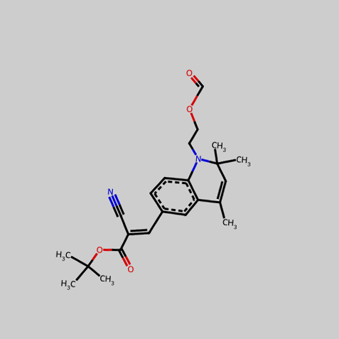 CC1=CC(C)(C)N(CCOC=O)c2ccc(/C=C(\C#N)C(=O)OC(C)(C)C)cc21